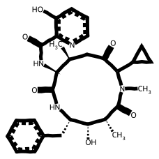 C[C@H]1CC(=O)C(C2CC2)N(C)C(=O)[C@H](C)[C@H](O)[C@H](Cc2ccccc2)NC(=O)[C@H]1NC(=O)c1ncccc1O